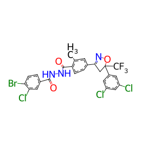 Cc1cc(C2=NOC(c3cc(Cl)cc(Cl)c3)(C(F)(F)F)C2)ccc1C(=O)NNC(=O)c1ccc(Br)c(Cl)c1